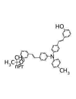 CCCC(C)(C)Oc1cccc(C=Cc2ccc(N(c3ccc(C)cc3)c3ccc(C=Cc4cccc(O)c4)cc3)cc2)c1